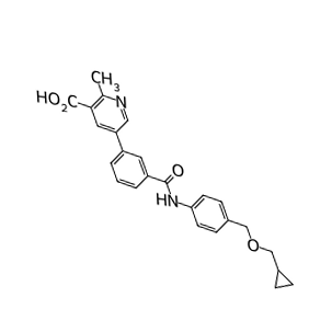 Cc1ncc(-c2cccc(C(=O)Nc3ccc(COCC4CC4)cc3)c2)cc1C(=O)O